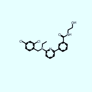 CCN(Cc1ccc(Cl)cc1Cl)c1cccc(-c2cccc(C(=O)NCCO)c2)n1